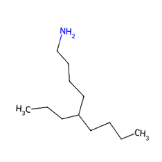 CCCCC(CCC)CCCCN